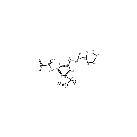 C=C(C)C(=O)Oc1cc(OCOC2CCCCC2)cc(C(=O)OC)c1